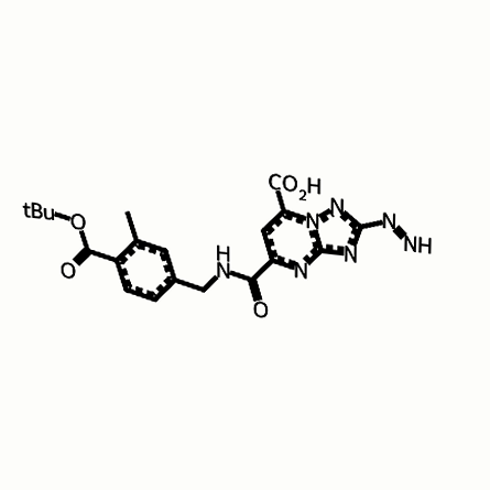 Cc1cc(CNC(=O)c2cc(C(=O)O)n3nc(N=N)nc3n2)ccc1C(=O)OC(C)(C)C